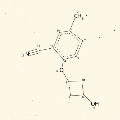 Cc1ccc(OC2CC(O)C2)c(C#N)c1